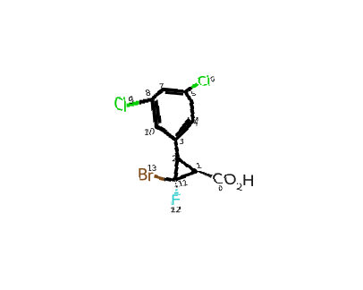 O=C(O)[C@@H]1C(c2cc(Cl)cc(Cl)c2)[C@]1(F)Br